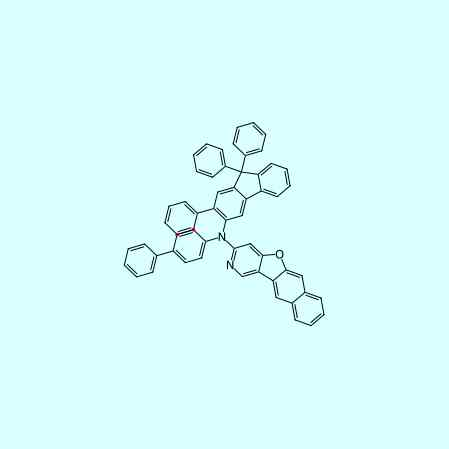 c1ccc(-c2ccc(N(c3cc4oc5cc6ccccc6cc5c4cn3)c3cc4c(cc3-c3ccccc3)C(c3ccccc3)(c3ccccc3)c3ccccc3-4)cc2)cc1